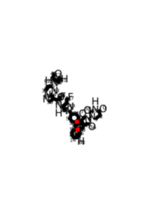 O=C1CCN(N2C(=O)c3ccc(N4C5C[C@@H]4CN(CC4CCC(n6cc(NC(=O)c7cnn8ccc(N9C[C@H]%10C[C@@H]9CO%10)nc78)c(C(F)F)n6)CC4)C5)cc3C2=O)C(=O)N1